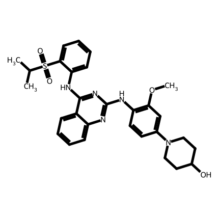 COc1cc(N2CCC(O)CC2)ccc1Nc1nc(Nc2ccccc2S(=O)(=O)C(C)C)c2ccccc2n1